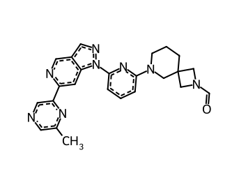 Cc1cncc(-c2cc3c(cn2)cnn3-c2cccc(N3CCCC4(CN(C=O)C4)C3)n2)n1